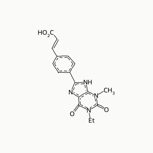 CCn1c(=O)c2nc(-c3ccc(C=CC(=O)O)cc3)[nH]c2n(C)c1=O